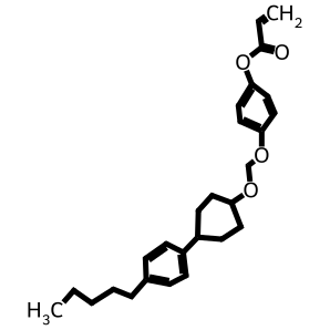 C=CC(=O)Oc1ccc(OCOC2CCC(c3ccc(CCCCC)cc3)CC2)cc1